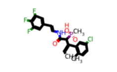 C/C=C(\c1cc(Cl)ccc1C)C(C(=O)N/C=C/c1cc(F)c(F)c(F)c1)P(C)(=O)O